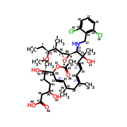 CC[C@H](OC)[C@@H](C)[C@H]1O[C@@H]1C(NCc1c(Cl)cccc1Cl)C(C)(O)/C=C/C=C(\C)C[C@@H](C)/C=C/[C@H](OC(C)=O)[C@](C)(O)CC[C@@H](O)CC(=O)O